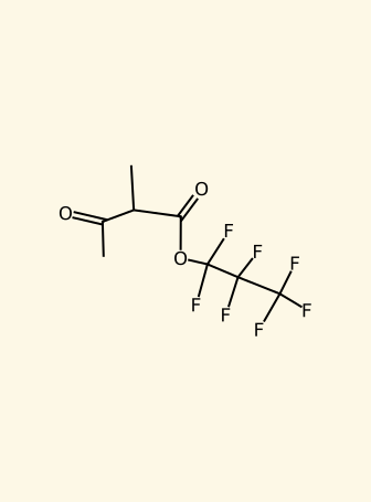 CC(=O)C(C)C(=O)OC(F)(F)C(F)(F)C(F)(F)F